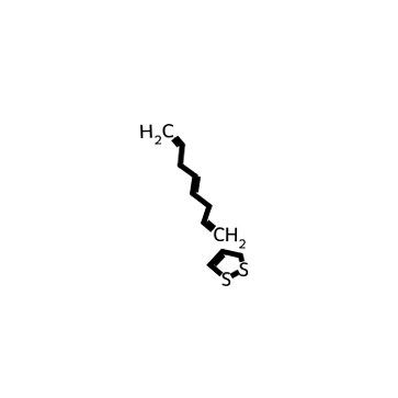 C1=CSSC1.C=CC/C=C/CC=C